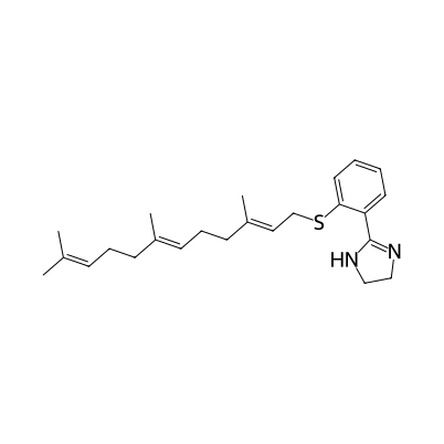 CC(C)=CCC/C(C)=C/CC/C(C)=C/CSc1ccccc1C1=NCCN1